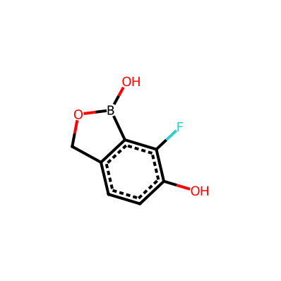 OB1OCc2ccc(O)c(F)c21